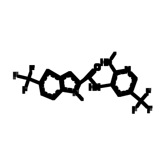 CNc1ncc(C(F)(F)F)cc1NC(=O)c1cc2cc(C(F)(F)F)ccc2n1C